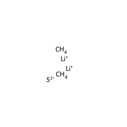 C.C.[Li+].[Li+].[S-2]